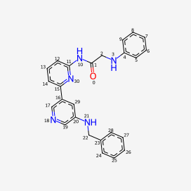 O=C(CNc1ccccc1)Nc1cccc(-c2cncc(NCc3ccccc3)c2)n1